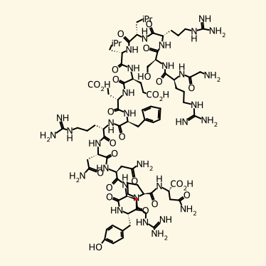 CC(C)C[C@H](NC(=O)[C@H](CCCNC(=N)N)NC(=O)[C@H](CO)NC(=O)[C@H](CCCNC(=N)N)NC(=O)CN)C(=O)N[C@@H](CC(C)C)C(=O)N[C@@H](CCC(=O)O)C(=O)N[C@@H](CC(=O)O)C(=O)N[C@@H](Cc1ccccc1)C(=O)N[C@@H](CCCNC(=N)N)C(=O)N[C@@H](CC(N)=O)C(=O)N[C@@H](CC(N)=O)C(=O)N[C@@H](CCCNC(=N)N)C(=O)N[C@@H](Cc1ccc(O)cc1)C(=O)N1CCC[C@H]1C(=O)N[C@@H](CC(N)=O)C(=O)O